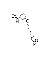 CCNc1cccc(OCCCCCOCC(=O)C(C)C)c1